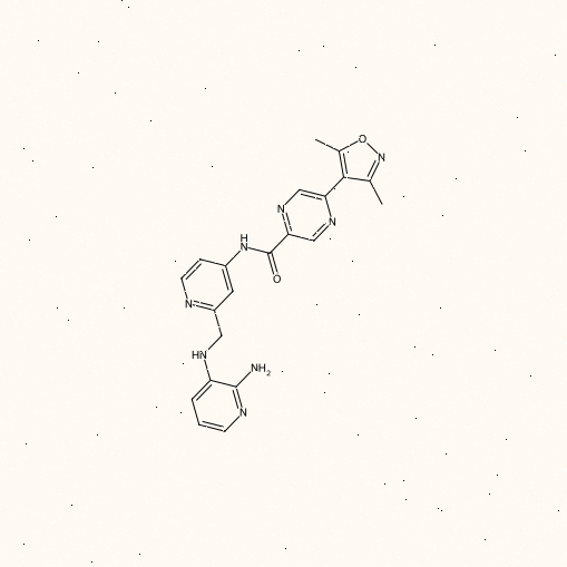 Cc1noc(C)c1-c1cnc(C(=O)Nc2ccnc(CNc3cccnc3N)c2)cn1